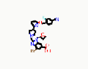 N#Cc1ccc(COc2cccc(C3CCN(Cc4nc5c(Br)cc(C(=O)O)cc5n4C[C@@H]4CCO4)CC3)n2)c(F)c1